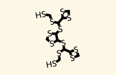 SCSC(SC1SCSC1SC(SCS)C1SCS1)C1SCS1